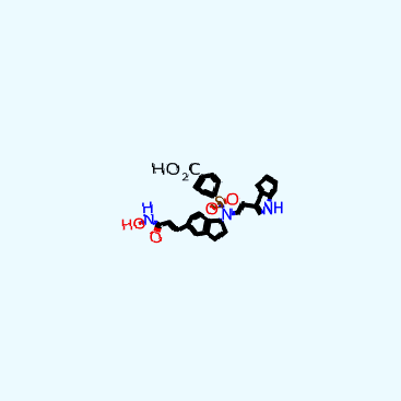 O=C(C=Cc1ccc2c(c1)CCC2N(CCc1c[nH]c2ccccc12)S(=O)(=O)c1ccc(C(=O)O)cc1)NO